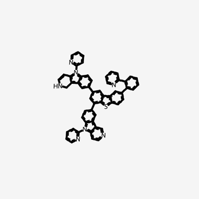 C1=Cc2c(c3cc(-c4cc(-c5ccc6c(c5)c5cnccc5n6-c5ccccn5)c5sc6ccc(-c7ccccc7-c7ccccn7)cc6c5c4)ccc3n2-c2ccccn2)CN1